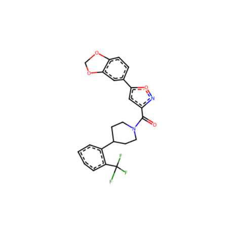 O=C(c1cc(-c2ccc3c(c2)OCO3)on1)N1CCC(c2ccccc2C(F)(F)F)CC1